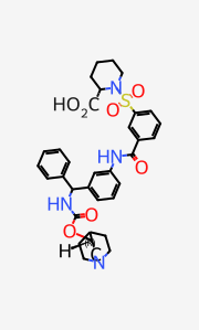 O=C(NC(c1ccccc1)c1cccc(NC(=O)c2cccc(S(=O)(=O)N3CCCCC3C(=O)O)c2)c1)O[C@H]1CN2CCC1CC2